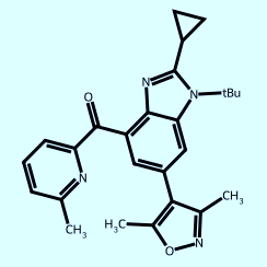 Cc1cccc(C(=O)c2cc(-c3c(C)noc3C)cc3c2nc(C2CC2)n3C(C)(C)C)n1